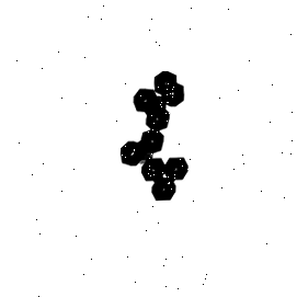 C1=Cc2c(n(-c3ccc4c5ccccc5c5ccccc5c4c3)c3ccc(-c4ccc5c(c4)c4ccccc4n5-c4cccc5ccccc45)cc23)CC1